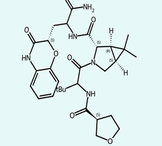 CC(C)(C)C(NC(=O)[C@H]1CCOC1)C(=O)N1C[C@H]2[C@@H]([C@H]1C(=O)NC(C[C@@H]1Oc3ccccc3NC1=O)C(N)=O)C2(C)C